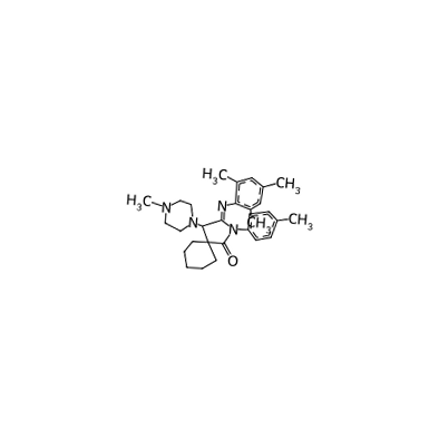 Cc1ccc(N2C(=O)C3(CCCCC3)C(N3CCN(C)CC3)C2=Nc2c(C)cc(C)cc2C)cc1